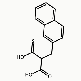 O=C(O)C(Cc1ccc2ccccc2c1)C(O)=S